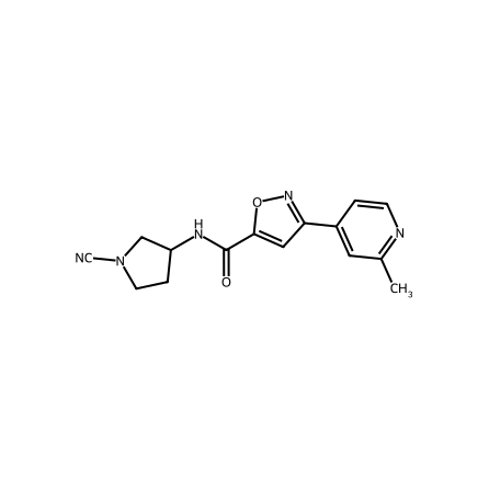 Cc1cc(-c2cc(C(=O)NC3CCN(C#N)C3)on2)ccn1